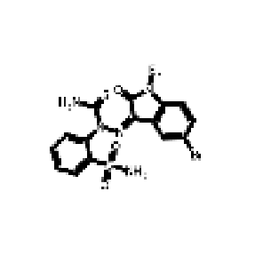 CCN1C(=O)/C(=N\N(C(N)=S)c2ccccc2S(N)(=O)=O)c2cc(Br)ccc21